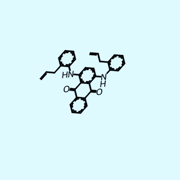 C=CCc1ccccc1Nc1ccc(Nc2ccccc2CC=C)c2c1C(=O)c1ccccc1C2=O